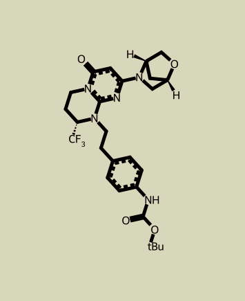 CC(C)(C)OC(=O)Nc1ccc(CCN2c3nc(N4C[C@@H]5C[C@H]4CO5)cc(=O)n3CC[C@H]2C(F)(F)F)cc1